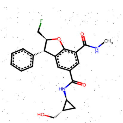 CNC(=O)c1cc(C(=O)N[C@H]2C[C@@H]2CO)cc2c1O[C@H](CF)[C@H]2c1ccccc1